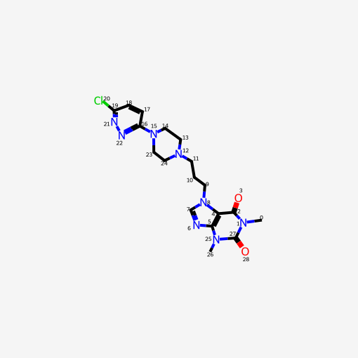 Cn1c(=O)c2c(ncn2CCCN2CCN(c3ccc(Cl)nn3)CC2)n(C)c1=O